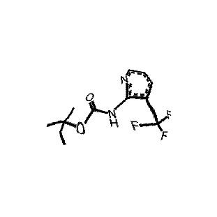 CC(C)(C)OC(=O)Nc1ncccc1C(F)(F)F